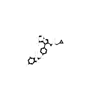 Nc1ncnn2cc(C(=O)NCC3CC3)c(-c3ccc(Nc4nc5cc(F)cc(F)c5[nH]4)cc3)c12